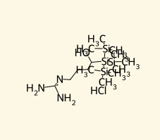 C[Si](C)(C)[Si](C(O)CCCN=C(N)N)([Si](C)(C)C)[Si](C)(C)C.Cl